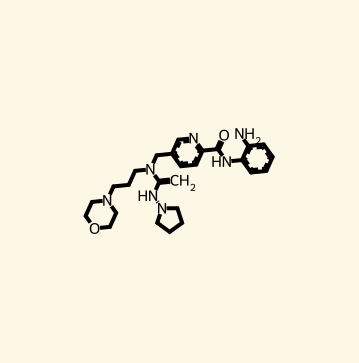 C=C(NN1CCCC1)N(CCCN1CCOCC1)Cc1ccc(C(=O)Nc2ccccc2N)nc1